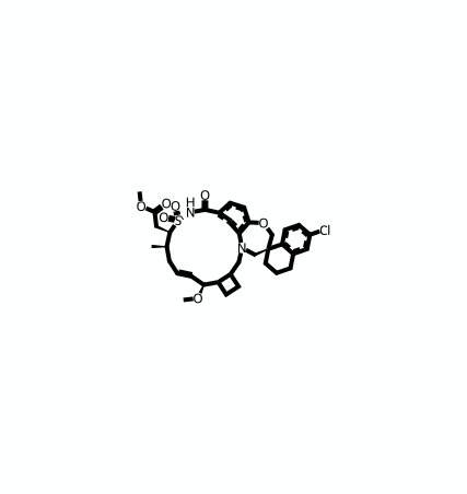 COC(=O)C[C@@H]1[C@H](C)C/C=C/[C@H](OC)C2CCC2CN2C[C@@]3(CCCc4cc(Cl)ccc43)COc3ccc(cc32)C(=O)NS1(=O)=O